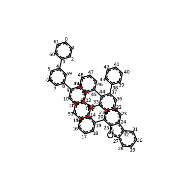 c1ccc(-c2cccc(-c3ccc(N(c4ccccc4-c4cccc5c4oc4ccccc45)c4cccc(-c5ccccc5)c4-c4ccccc4-c4ccccc4)cc3)c2)cc1